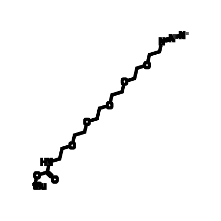 CC(C)(C)OC(=O)NCCOCCOCCOCCOCCOCCN=[N+]=[N-]